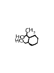 CC(O)C1CCCCC1CO